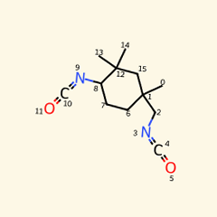 CC1(CN=C=O)CCC(N=C=O)C(C)(C)C1